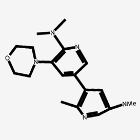 CNc1cnc(C)c(-c2cnc(N(C)C)c(N3CCOCC3)c2)c1